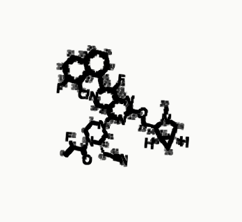 C=C(F)C(=O)N1CCN(c2nc(OC[C@@H]3[C@@H]4C[C@@H]4CN3C)nc3c(F)c(-c4cccc5ccc(F)c(Cl)c45)ncc23)C[C@@H]1CC#N